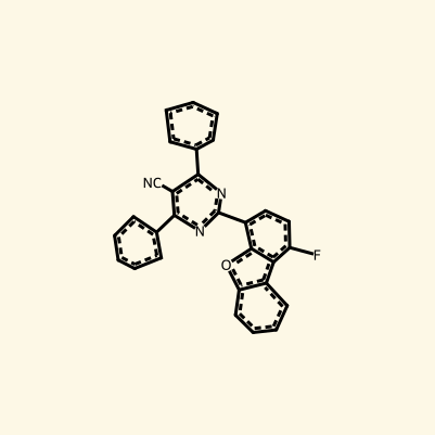 N#Cc1c(-c2ccccc2)nc(-c2ccc(F)c3c2oc2ccccc23)nc1-c1ccccc1